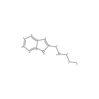 CCCOCc1cc2ccccc2o1